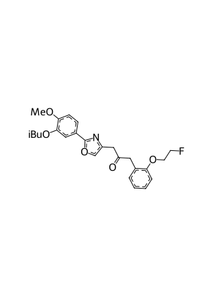 COc1ccc(-c2nc(CC(=O)Cc3ccccc3OCCF)co2)cc1OCC(C)C